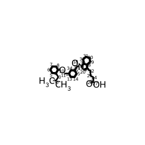 CC(C)Cc1ccccc1OCc1cccc(C(=O)n2cc(CCCC(=O)O)c3ccccc32)c1